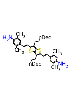 CCCCCCCCCCCCc1c(/C=C/c2cc(C)c(N)cc2C)sc2c(CCCCCCCCCCCC)c(/C=C/c3cc(C)c(N)cc3C)sc12